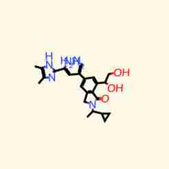 Cc1nc(/C(N)=C/C(=C\N)c2cc3c(c(C(O)CO)c2)C(=O)N(C(C)C2CC2)C3)[nH]c1C